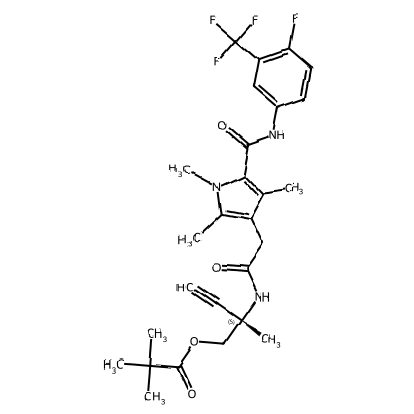 C#C[C@@](C)(COC(=O)C(C)(C)C)NC(=O)Cc1c(C)c(C(=O)Nc2ccc(F)c(C(F)(F)F)c2)n(C)c1C